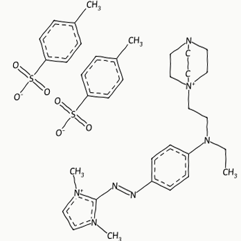 CCN(CC[N+]12CCN(CC1)CC2)c1ccc(N=Nc2n(C)cc[n+]2C)cc1.Cc1ccc(S(=O)(=O)[O-])cc1.Cc1ccc(S(=O)(=O)[O-])cc1